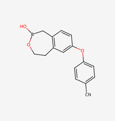 N#Cc1ccc(Oc2ccc3c(c2)CCOB(O)C3)cc1